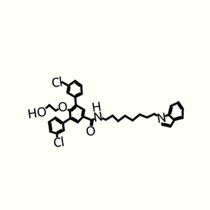 O=C(NCCCCCCCCn1ccc2ccccc21)c1cc(-c2cccc(Cl)c2)c(OCCO)c(-c2cccc(Cl)c2)c1